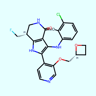 COc1c(Cl)cccc1Nc1c(-c2ccncc2OC[C@H]2CCO2)[nH]c2c1C(=O)NC[C@H]2CF